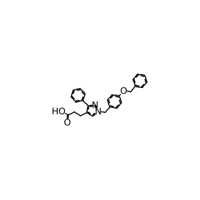 O=C(O)CCc1cn(Cc2ccc(OCc3ccccc3)cc2)nc1-c1ccccc1